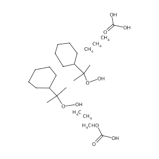 C.C.C.C.C.C.CC(C)(OO)C1CCCCC1.CC(C)(OO)C1CCCCC1.O=C(O)O.O=C(O)O